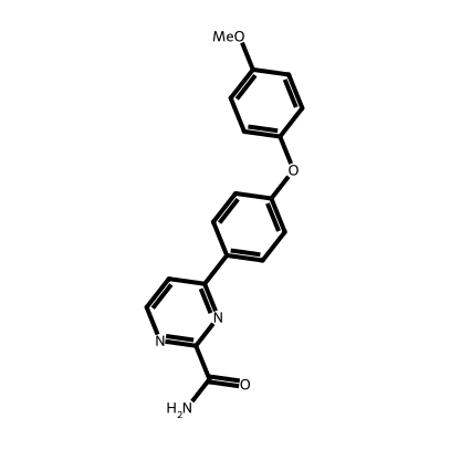 COc1ccc(Oc2ccc(-c3ccnc(C(N)=O)n3)cc2)cc1